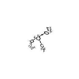 Cc1cc(Sc2cc(C#Cc3ccc(C(F)(F)F)cc3)cc(C#Cc3ccc(C(F)(F)F)cc3)n2)ccc1OCC(=O)O